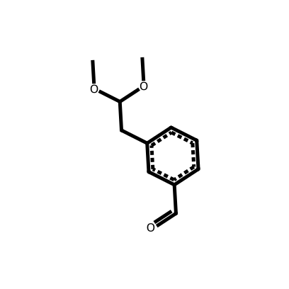 COC(Cc1cccc(C=O)c1)OC